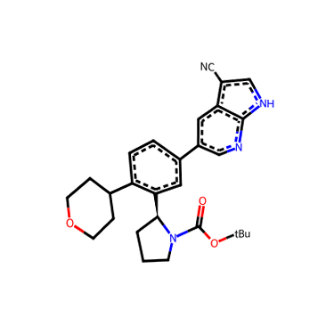 CC(C)(C)OC(=O)N1CCC[C@H]1c1cc(-c2cnc3[nH]cc(C#N)c3c2)ccc1C1CCOCC1